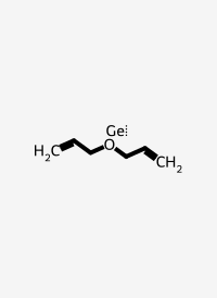 C=CCOCC=C.[Ge]